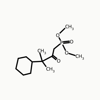 COP(=O)(CC(=O)C(C)(C)C1CCCCC1)OC